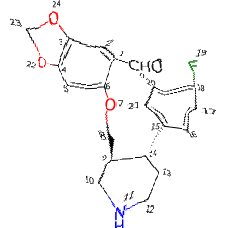 O=Cc1cc2c(cc1OC[C@@H]1CNCC[C@H]1c1ccc(F)cc1)OCO2